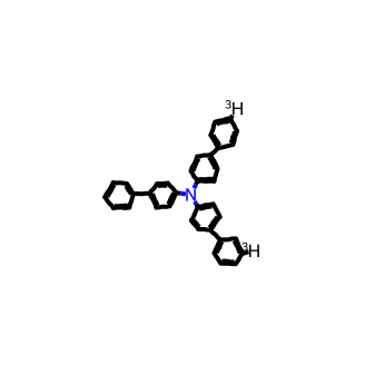 [3H]c1ccc(-c2ccc(N(c3ccc(-c4ccccc4)cc3)c3ccc(-c4cccc([3H])c4)cc3)cc2)cc1